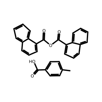 Cc1ccc(C(=O)O)cc1.O=C(OC(=O)c1cccc2ccccc12)c1cccc2ccccc12